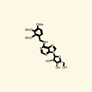 COc1ccc(CNc2ncnc3c2ncn3C2O[C@H](CO)[C@@H](O)[C@H]2O)c(OC)c1OC